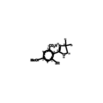 CCc1cc(OC)cc(C(=O)O)c1C1=NC(C)(C)CO1